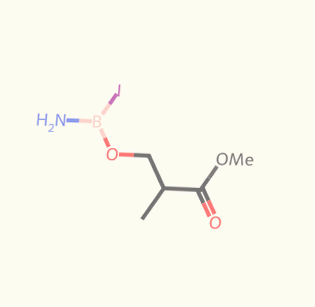 COC(=O)C(C)COB(N)I